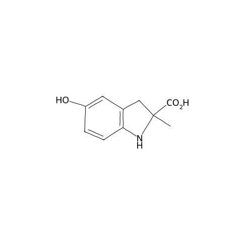 CC1(C(=O)O)Cc2cc(O)ccc2N1